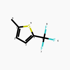 Cc1c[c]c(C(F)(F)F)s1